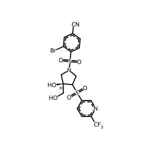 N#Cc1ccc(S(=O)(=O)N2CC(S(=O)(=O)c3ccc(C(F)(F)F)nc3)[C@](O)(CO)C2)c(Br)c1